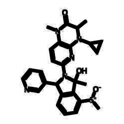 CC1C(=O)N(C)c2ccc(N3C(c4cccnc4)c4cccc([S+](C)[O-])c4C3(C)O)nc2N1C1CC1